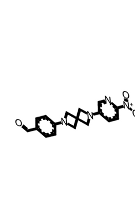 O=Cc1ccc(N2CC3(C2)CN(c2ccc([N+](=O)[O-])nc2)C3)cc1